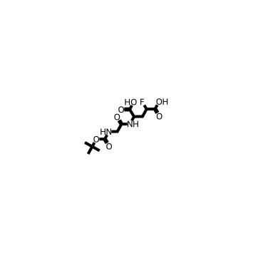 CC(C)(C)OC(=O)NCC(=O)NC(CC(F)C(=O)O)C(=O)O